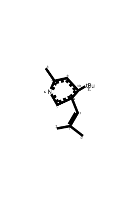 CC(C)=Cc1cnc(C)cc1C(C)(C)C